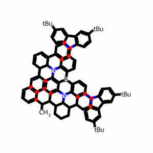 CC1CCCCC1C1CCCC(C2CCCCC2)C1N1c2cc(-n3c4ccc(C(C)(C)C)cc4c4cc(C(C)(C)C)ccc43)ccc2B2c3ccc(-n4c5ccc(C(C)(C)C)cc5c5cc(C(C)(C)C)ccc54)cc3N(C3C(C4=CC=CCC4)=CC=CC3C3=CCCC=C3)c3cc(-c4ccccc4)cc1c32